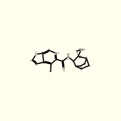 Cc1c(C(=O)NC2C3CCC(CC3)[C@@]23CN3)ncc2occc12